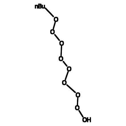 CCCCOOOOOOOOO